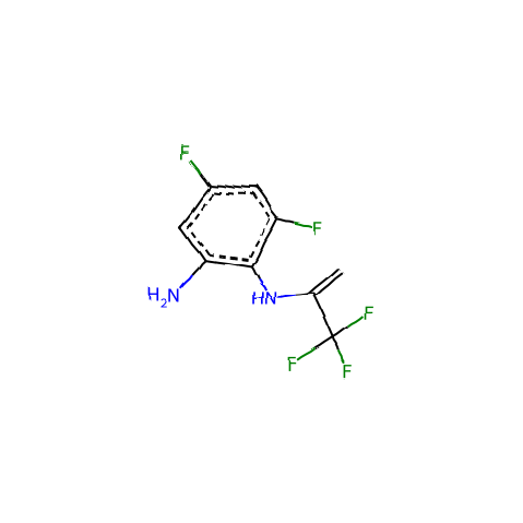 C=C(Nc1c(N)cc(F)cc1F)C(F)(F)F